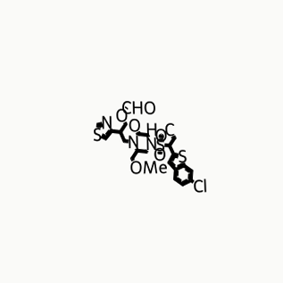 C=CC(c1cc2ccc(Cl)cc2s1)S(=O)(=O)N1CC(=O)N(CC(COC=O)c2cscn2)C(COC)C1